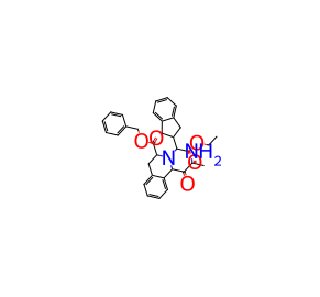 CCOC(=O)C(C1Cc2ccccc2C1)N1C(C(=O)OCc2ccccc2)Cc2ccccc2C1C(=O)C(C)N